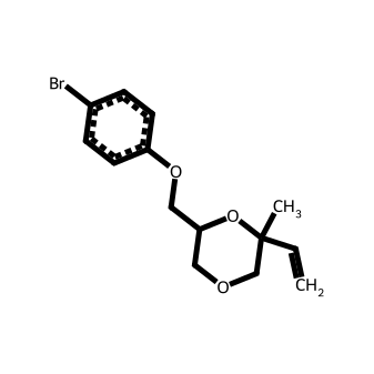 C=CC1(C)COCC(COc2ccc(Br)cc2)O1